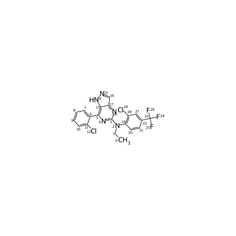 CCN(c1nc(-c2ccccc2Cl)c2[nH]ncc2n1)c1ccc(C(F)(F)F)cc1Cl